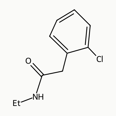 [CH2]CNC(=O)Cc1ccccc1Cl